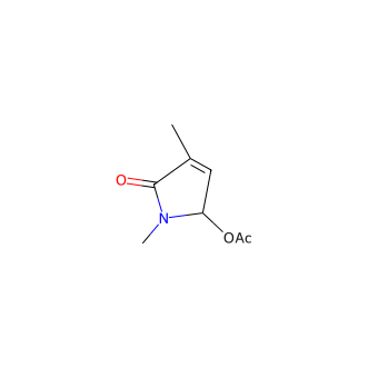 CC(=O)OC1C=C(C)C(=O)N1C